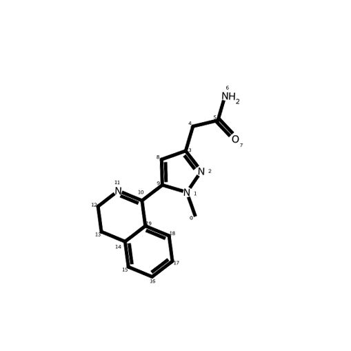 Cn1nc(CC(N)=O)cc1C1=NCCc2ccccc21